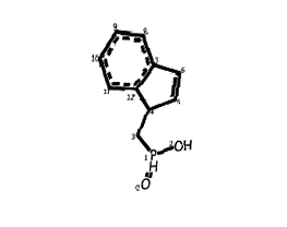 O=[PH](O)CC1C=Cc2ccccc21